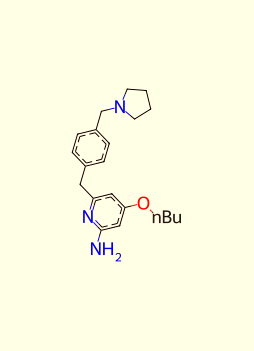 CCCCOc1cc(N)nc(Cc2ccc(CN3CCCC3)cc2)c1